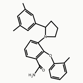 Cc1cc(C)cc(C2CCCN2c2cccc(C(N)=O)c2Oc2ccccc2C)c1